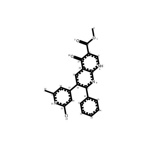 COC(=O)c1c[nH]c2nc(-c3ccccc3)c(-c3cc(C)nc(Cl)c3)cc2c1=O